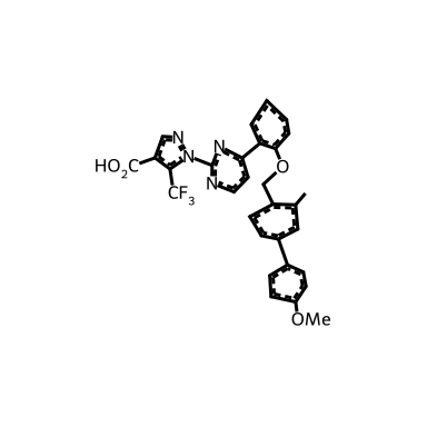 COc1ccc(-c2ccc(COc3ccccc3-c3ccnc(-n4ncc(C(=O)O)c4C(F)(F)F)n3)c(C)c2)cc1